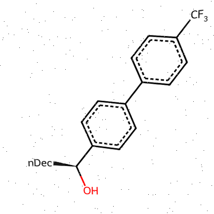 CCCCCCCCCC[C@H](O)c1ccc(-c2ccc(C(F)(F)F)cc2)cc1